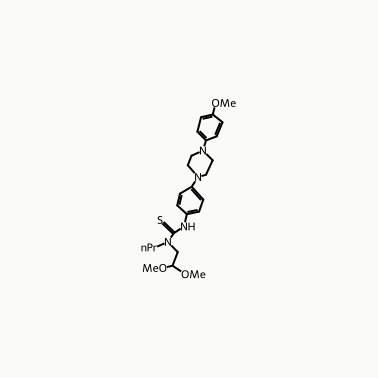 CCCN(CC(OC)OC)C(=S)Nc1ccc(N2CCN(c3ccc(OC)cc3)CC2)cc1